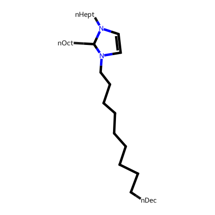 CCCCCCCCCCCCCCCCCCCN1C=CN(CCCCCCC)C1CCCCCCCC